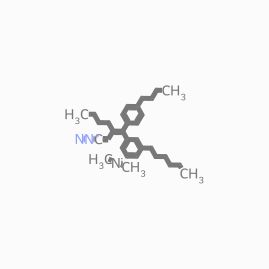 CCCCCCc1cccc(C(=C(C=C=[N+]=[N-])CCCC)c2ccc(CCCC)cc2)c1.[CH3][Ni][CH3]